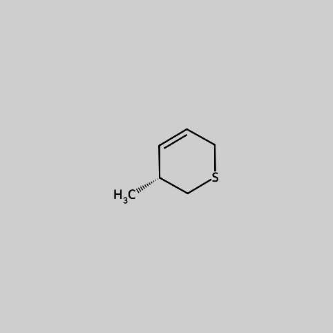 C[C@@H]1C=CCSC1